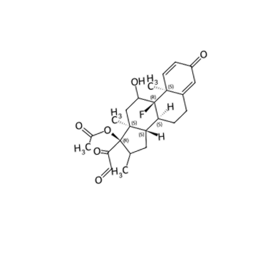 CC(=O)O[C@]1(C(=O)C=O)C(C)C[C@H]2[C@@H]3CCC4=CC(=O)C=C[C@]4(C)[C@@]3(F)C(O)C[C@@]21C